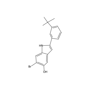 CC(C)(C)c1cccc(-c2cc3cc(O)c(Br)cc3[nH]2)c1